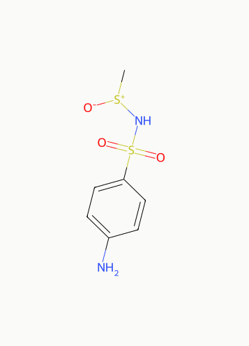 C[S+]([O-])NS(=O)(=O)c1ccc(N)cc1